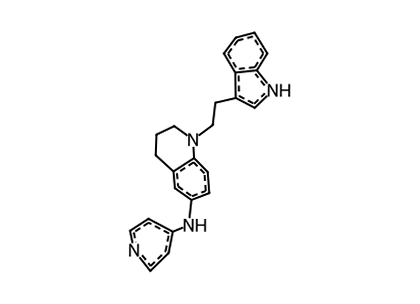 c1ccc2c(CCN3CCCc4cc(Nc5ccncc5)ccc43)c[nH]c2c1